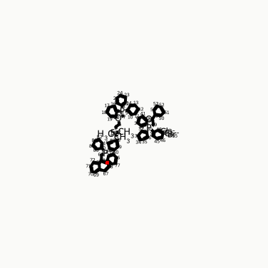 C[Si](C)(C)CCOC[P+](c1ccccc1)(c1ccccc1)c1ccccc1.O=C(C[P+](c1ccccc1)(c1ccccc1)c1ccccc1)c1ccccc1.[Br-].[Cl-].[Cl-].c1ccc([P+](Cc2cccc3ccccc23)(c2ccccc2)c2ccccc2)cc1